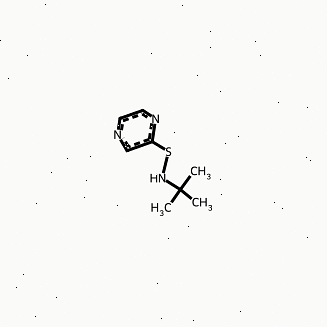 CC(C)(C)NSc1cnccn1